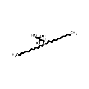 CCCCCCCCCCCCN(CCCCCCCCCCCC)C(=O)C(O)C(O)CO